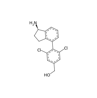 N[C@@H]1CCc2c(-c3c(Cl)cc(CO)cc3Cl)cccc21